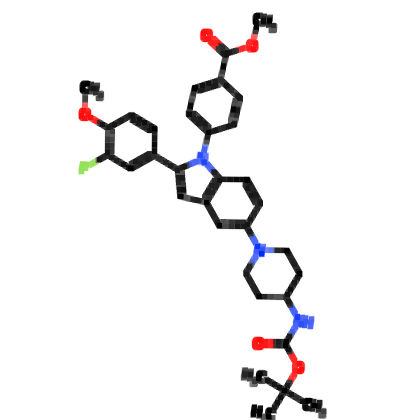 COC(=O)c1ccc(-n2c(-c3ccc(OC)c(F)c3)cc3cc(N4CCC(NC(=O)OC(C)(C)C)CC4)ccc32)cc1